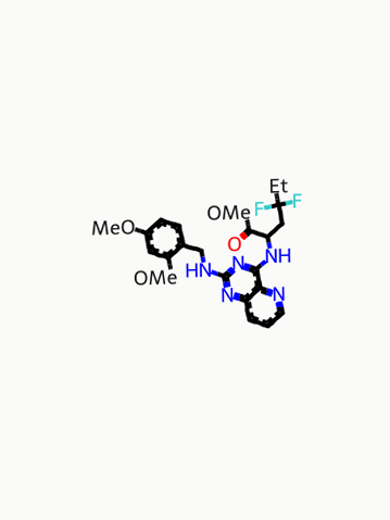 CCC(F)(F)CC(Nc1nc(NCc2ccc(OC)cc2OC)nc2cccnc12)C(=O)OC